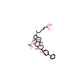 CC(=O)O[C@@H]1C[C@@H]2C[C@](O)(c3ccc(-c4ccccc4)cc3)CC[C@]2(C)[C@H]2CC[C@]3(C)[C@@H](C(C)CCC=CC(=O)O)CC[C@H]3[C@H]12